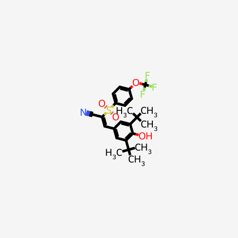 CC(C)(C)c1cc(C=C(C#N)S(=O)(=O)c2ccc(OC(F)(F)F)cc2)cc(C(C)(C)C)c1O